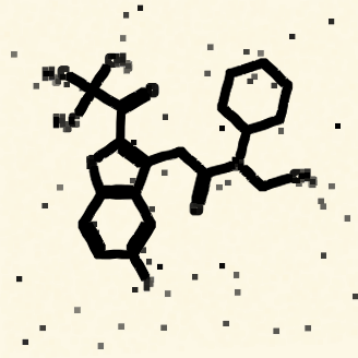 CCN(C(=O)Cc1c(C(=O)C(C)(C)C)sc2ccc(F)cc12)C1CCCCC1